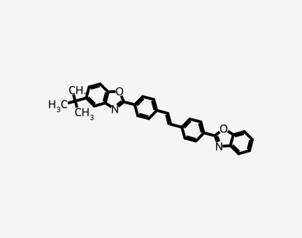 CC(C)(C)c1ccc2oc(-c3ccc(C=Cc4ccc(-c5nc6ccccc6o5)cc4)cc3)nc2c1